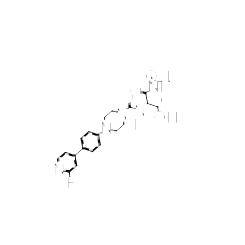 C[C@@H](O)[C@H](NC(=O)N1CCN(c2ccc(-c3ccnc(F)c3)cc2)CC1)C(=O)NO